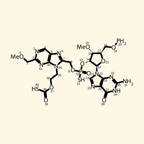 COCc1ncc2nc(COP(=O)(S)O[C@@H]3[C@H](OC)[C@@H](COP)O[C@H]3n3cnc4c(=O)[nH]c(N)nc43)n(CCOC(=O)S)c2n1